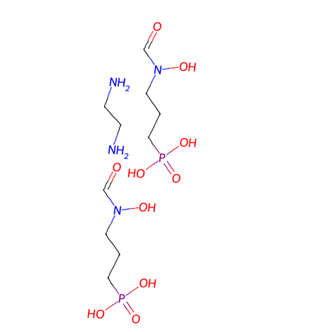 NCCN.O=CN(O)CCCP(=O)(O)O.O=CN(O)CCCP(=O)(O)O